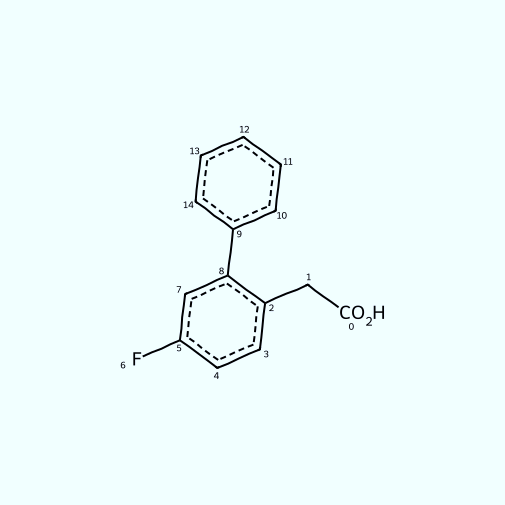 O=C(O)Cc1ccc(F)cc1-c1ccccc1